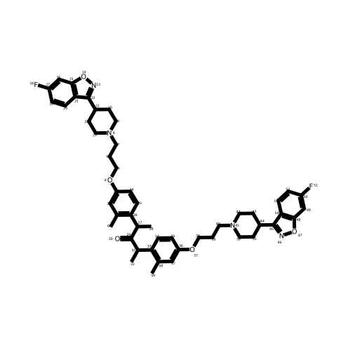 Cc1cc(OCCCN2CCC(c3noc4cc(F)ccc34)CC2)ccc1C(C)C(=O)C(C)c1ccc(OCCCN2CCC(c3noc4cc(F)ccc34)CC2)cc1C